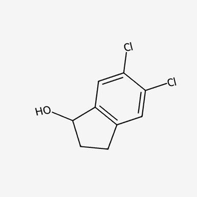 OC1CCc2cc(Cl)c(Cl)cc21